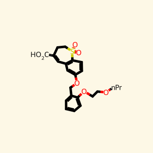 CCCOCCOc1ccccc1COc1ccc2c(c1)C=C(C(=O)O)CCS2(=O)=O